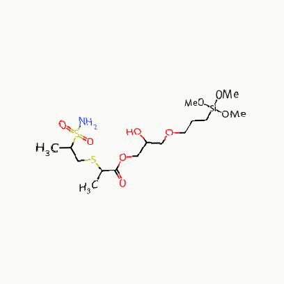 CO[Si](CCCOCC(O)COC(=O)C(C)SCC(C)S(N)(=O)=O)(OC)OC